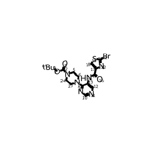 CC(C)(C)OC(=O)N1CCN(c2ncncc2NC(=O)c2csc(Br)n2)CC1